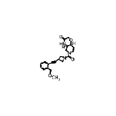 COCc1ccccc1C#CC1CN(C(=O)N2CC[C@@H]3OCC(=O)N[C@@H]3C2)C1